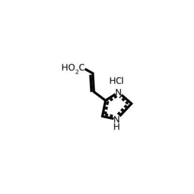 Cl.O=C(O)C=Cc1c[nH]cn1